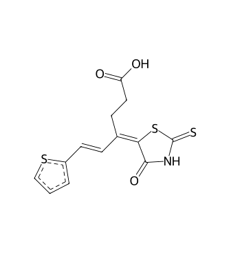 O=C(O)CCC(/C=C/c1cccs1)=C1\SC(=S)NC1=O